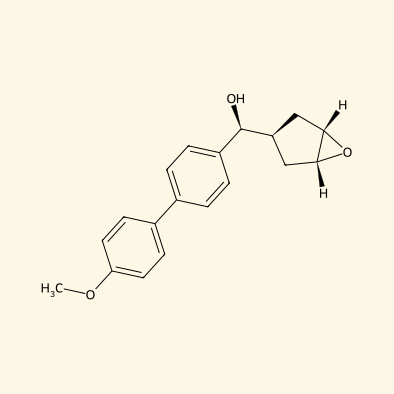 COc1ccc(-c2ccc([C@@H](O)[C@H]3C[C@@H]4O[C@@H]4C3)cc2)cc1